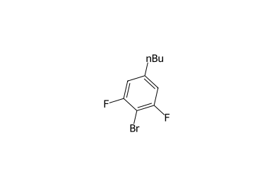 CCCCc1cc(F)c(Br)c(F)c1